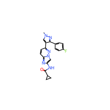 Cn1cc(-c2ccc3nc(NC(=O)C4CC4)cn3n2)c(-c2ccc(F)cc2)n1